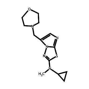 CN(c1nn2c(CN3CCOCC3)cnc2s1)C1CC1